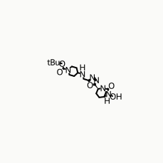 CC(C)(C)OC(=O)N1CCC(NCc2nnc([C@@H]3CC[C@H]4CN3C(=O)N4O)o2)CC1